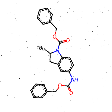 CC(C)(C)C1Cc2cc(NC(=O)OCc3ccccc3)ccc2N1C(=O)OCc1ccccc1